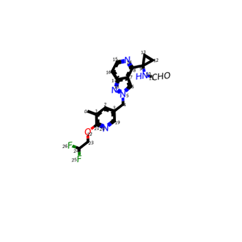 Cc1cc(Cn2cc3c(C4(NC=O)CC4)nccc3n2)cnc1OCC(F)F